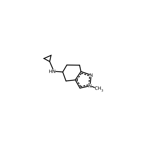 Cn1cc2c(n1)CCC(NC1CC1)C2